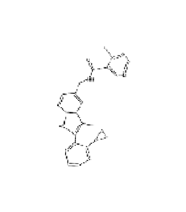 Cc1ncncc1C(=O)NCc1ccc2[nH]c(-c3ccccc3C3CC3)c(C)c2c1